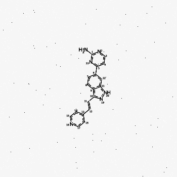 Nc1nccc(-c2ccc3c(/C=C/c4ccncc4)n[nH]c3c2)n1